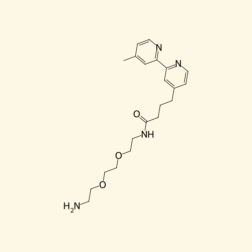 Cc1ccnc(-c2cc(CCCC(=O)NCCOCCOCCN)ccn2)c1